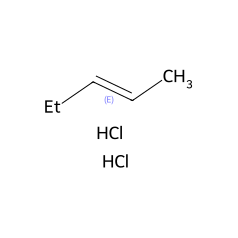 C/C=C/CC.Cl.Cl